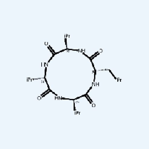 CC(C)C[C@@H]1NC(=O)[C@@H](C(C)C)NC(=O)[C@H](C(C)C)NC(=O)[C@@H](C(C)C)NC1=O